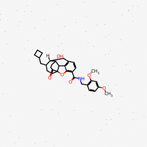 COc1ccc(CNC(=O)c2ccc3c4c2OC25CCC(CC6CCC6)[C@H](C3)[C@](O)(CCC2=O)C45)c(OC)c1